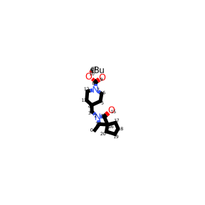 CC1N(CC2CCN(C(=O)OC(C)(C)C)CC2)C(=O)C12CCCC2